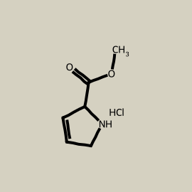 COC(=O)C1C=CCN1.Cl